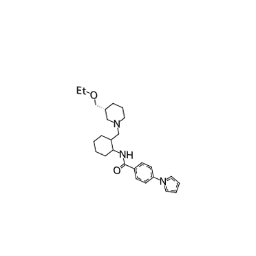 CCOC[C@@H]1CCCN(CC2CCCCC2NC(=O)c2ccc(-n3cccc3)cc2)C1